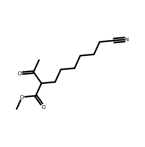 COC(=O)C(CCCCCCC#N)C(C)=O